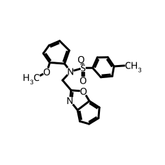 COc1ccccc1N(Cc1nc2ccccc2o1)S(=O)(=O)c1ccc(C)cc1